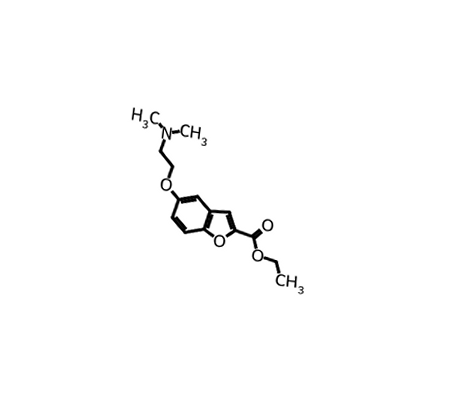 CCOC(=O)c1cc2cc(OCCN(C)C)ccc2o1